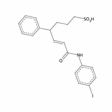 O=C(C=CC(CCCS(=O)(=O)O)c1ccccc1)Nc1ccc(I)cc1